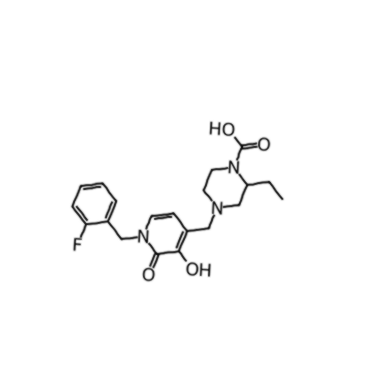 CCC1CN(Cc2ccn(Cc3ccccc3F)c(=O)c2O)CCN1C(=O)O